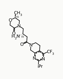 CC(C)c1nc2c(c(C(F)(F)F)n1)CCN(C(=O)C[C@H](N)CN1C[C@H](C)OCC1=O)C2